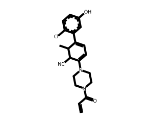 C=CC(=O)N1CCN(C2=CC=C(c3cc(O)ccc3Cl)C(C)C2C#N)CC1